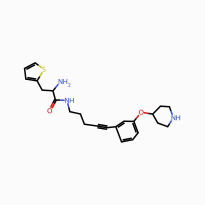 NC(Cc1cccs1)C(=O)NCCCC#Cc1cccc(OC2CCNCC2)c1